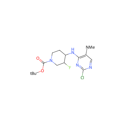 CNc1cnc(Cl)nc1NC1CCN(C(=O)OC(C)(C)C)CC1F